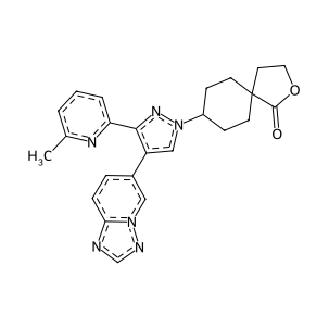 Cc1cccc(-c2nn(C3CCC4(CCOC4=O)CC3)cc2-c2ccc3ncnn3c2)n1